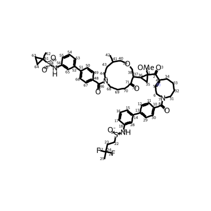 COC1(C(=O)/C2=C/CN(C(=O)c3ccc(-c4cccc(N[S+]([O-])CCC(C)(F)F)c4)cc3)CCCC2)CC1C1COCC(C)CCN(C(=O)c2ccc(-c3cccc(NS(=O)(=O)C4(C)CC4)c3)cc2)CCCC1=O